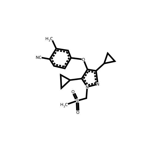 Cc1cc(Oc2c(C3CC3)nn(CS(C)(=O)=O)c2C2CC2)ccc1C#N